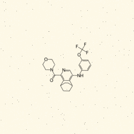 O=C(c1ncc(Nc2cccc(OC(F)(F)F)c2)c2c1C1CCC2CC1)N1CCOCC1